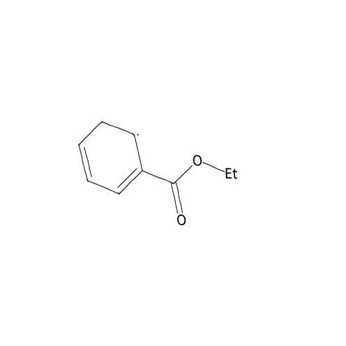 CCOC(=O)C1=CC=CC[CH]1